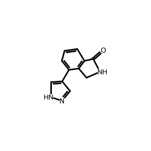 O=C1NCc2c1cccc2-c1cn[nH]c1